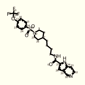 O=C(NCCCCC1CCN(S(=O)(=O)c2ccc(OC(F)(F)F)cc2)CC1)c1cc2cnccc2[nH]1